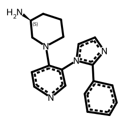 N[C@H]1CCCN(c2ccncc2-n2ccnc2-c2ccccc2)C1